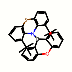 CC(C)(C)c1cccc2c1N(B1c3ccccc3Oc3ccccc31)c1c(cccc1C(C)(C)C)S2